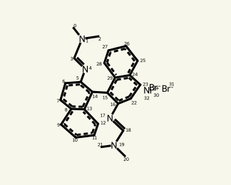 CN(C)C=Nc1ccc2ccccc2c1-c1c(N=CN(C)C)ccc2ccccc12.[Br-].[Br-].[Ni+2]